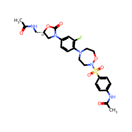 CC(=O)NC[C@H]1CN(c2ccc(N3CCON(S(=O)(=O)c4ccc(NC(C)=O)cc4)CC3)c(F)c2)C(=O)O1